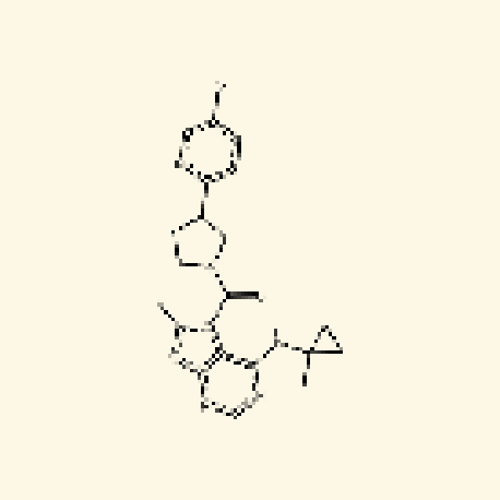 Cc1oc2ncnc(NC3(C)CC3)c2c1C(=O)N1CCC(c2ccc(Br)cn2)C1